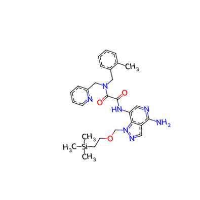 Cc1ccccc1CN(Cc1ccccn1)C(=O)C(=O)Nc1cnc(N)c2cnn(COCC[Si](C)(C)C)c12